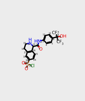 O=C(Nc1ccc(C(O)(C(F)(F)F)C(F)(F)F)cc1)C1NCCc2cc(S(=O)(=O)Cl)ccc21